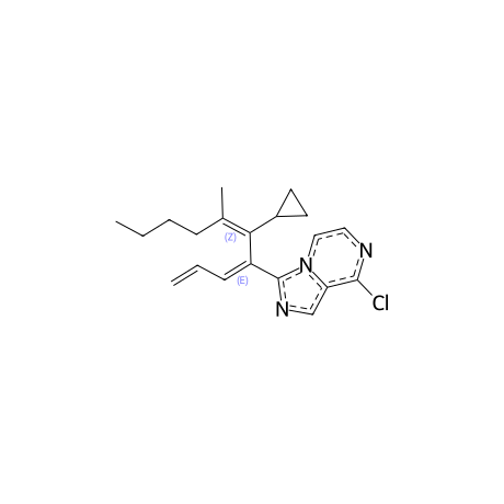 C=C/C=C(\C(=C(\C)CCCC)C1CC1)c1ncc2c(Cl)nccn12